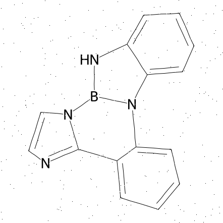 c1ccc2c(c1)NB1N2c2ccccc2-c2nccn21